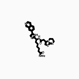 CNC(=O)CCCCCC(NC(=O)CC1=CSC2=NCCCN12)c1ncc(-c2ccc3ccncc3c2)[nH]1